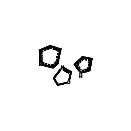 C1=NCCO1.c1cc[nH]c1.c1ccncc1